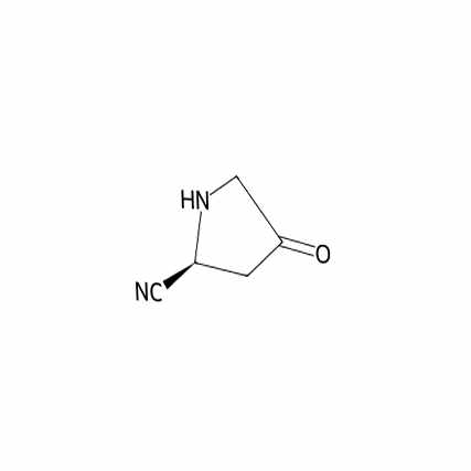 N#C[C@@H]1CC(=O)CN1